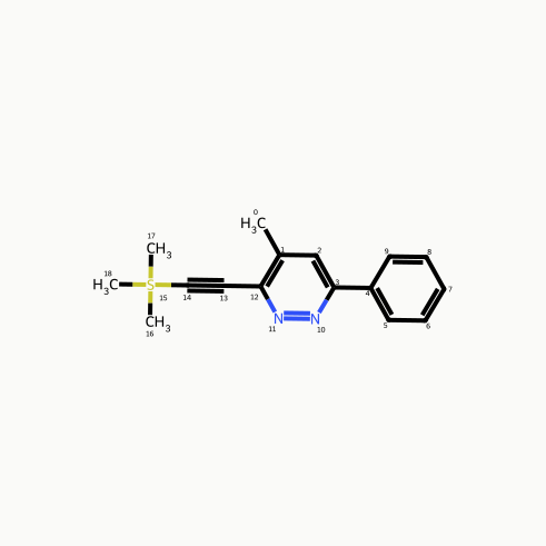 Cc1cc(-c2ccccc2)nnc1C#CS(C)(C)C